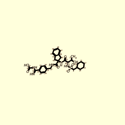 CC(C)[C@@H](NS(=O)(=O)CC1CCCCC1)C(=O)NC1(C(=O)NCc2ccc(C(=N)NC(=O)O)cc2)Cc2ccccc2C1